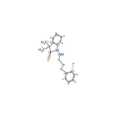 CC1(C)C(=O)N(NCCCc2ccncc2F)c2ccccc21